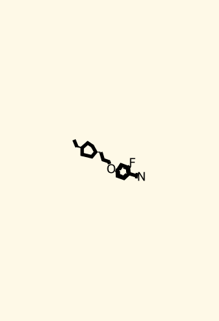 CC[C@H]1CC[C@H](CCCOc2ccc(C#N)c(F)c2)CC1